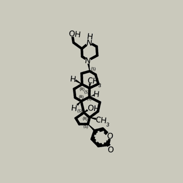 C[C@]12CC[C@H](N3CCNC(CO)C3)C[C@H]1CC[C@@H]1[C@@H]2CC[C@]2(C)[C@@H](c3ccc(=O)oc3)CC[C@]12O